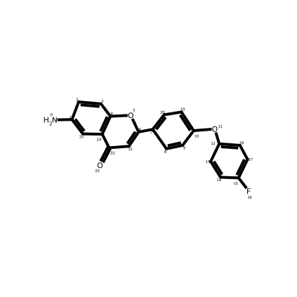 Nc1ccc2oc(-c3ccc(Oc4ccc(F)cc4)cc3)cc(=O)c2c1